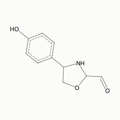 O=CC1NC(c2ccc(O)cc2)CO1